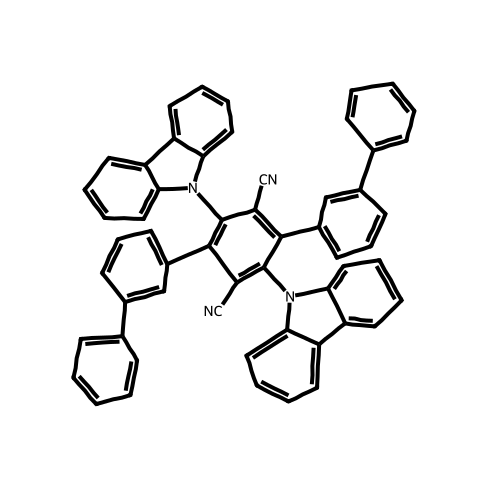 N#Cc1c(-c2cccc(-c3ccccc3)c2)c(-n2c3ccccc3c3ccccc32)c(C#N)c(-c2cccc(-c3ccccc3)c2)c1-n1c2ccccc2c2ccccc21